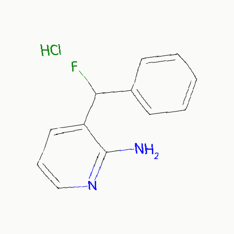 Cl.Nc1ncccc1C(F)c1ccccc1